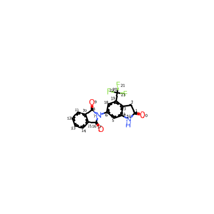 O=C1Cc2c(cc(N3C(=O)c4ccccc4C3=O)cc2C(F)(F)F)N1